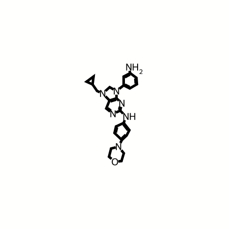 Nc1cccc(N2CN(CC3CC3)c3cnc(Nc4ccc(N5CCOCC5)cc4)nc32)c1